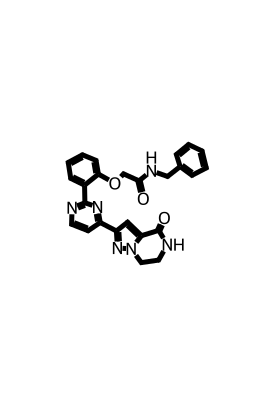 O=C(COc1ccccc1-c1nccc(-c2cc3n(n2)CCNC3=O)n1)NCc1ccccc1